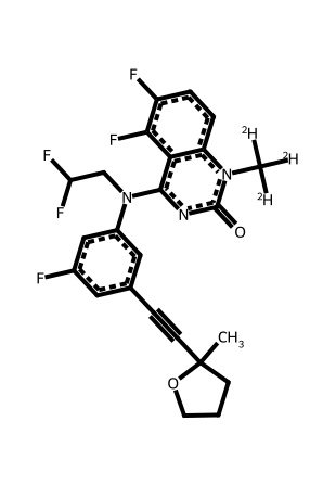 [2H]C([2H])([2H])n1c(=O)nc(N(CC(F)F)c2cc(F)cc(C#CC3(C)CCCO3)c2)c2c(F)c(F)ccc21